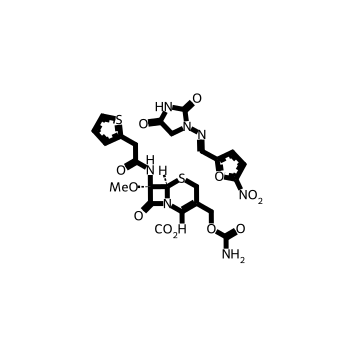 CO[C@@]1(NC(=O)Cc2cccs2)C(=O)N2C(C(=O)O)=C(COC(N)=O)CS[C@@H]21.O=C1CN(/N=C/c2ccc([N+](=O)[O-])o2)C(=O)N1